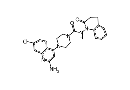 Nc1cc(N2CCN(C(=O)NN3C(=O)CCc4ccccc43)CC2)c2ccc(Cl)cc2n1